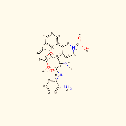 COc1ccccc1-c1c2c(n(C)c1C(=O)Nc1ccccc1N)CN(C(=O)O)CC2c1ccccc1OC